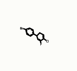 FC1=CC(c2ccc(Br)cc2)CC=C1Cl